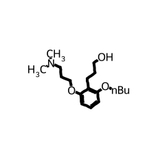 CCCCOc1cccc(OCCCN(C)C)c1CCCO